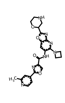 Cc1cc(-c2nc(C(=O)Nc3cc4oc(C5CNCCO5)nc4nc3N3CCC3)co2)ccn1